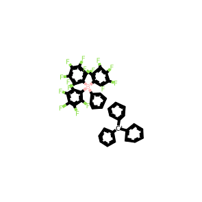 Fc1c(F)c(F)c([B-](c2ccccc2)(c2c(F)c(F)c(F)c(F)c2F)c2c(F)c(F)c(F)c(F)c2F)c(F)c1F.c1ccc([C+](c2ccccc2)c2ccccc2)cc1